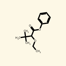 CCOC(C(=O)Oc1ccccc1)C(C)(C)C